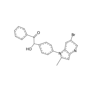 Cc1cc2ncc(Br)cc2n1-c1ccc(C(O)C(=O)c2ccccc2)cc1